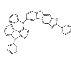 c1ccc(-c2nc3cc4c(cc3o2)oc2ccc(N(c3ccccc3)c3cccc5c3c3ccccc3n5-c3ccccc3)cc24)cc1